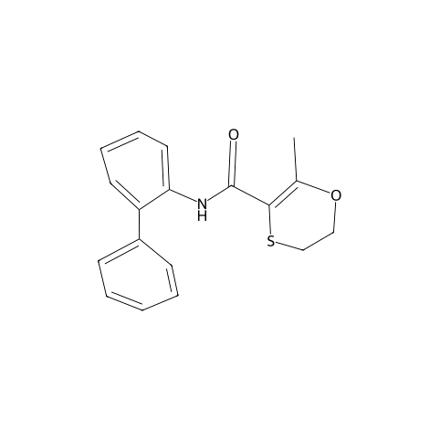 CC1=C(C(=O)Nc2ccccc2-c2ccccc2)SCCO1